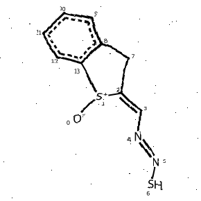 [O-][S+]1C(=CN=NS)Cc2ccccc21